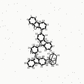 c1ccc2c(c1)oc1c(-c3ccc4c(c3)c3ccccc3n4-c3ccnc(-n4c5ccccc5c5ccc(C67CC8CC(CC(C8)C6)C7)cc54)c3)cccc12